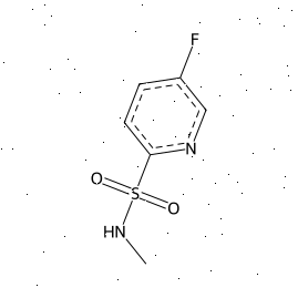 CNS(=O)(=O)c1ccc(F)cn1